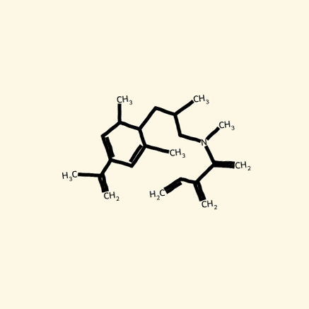 C=CC(=C)C(=C)N(C)CC(C)CC1C(C)=CC(C(=C)C)=CC1C